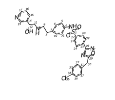 O=S(=O)(Nc1ccc(CCNC[C@H](O)c2cccnc2)cc1)c1ccc(-c2noc(Cc3ccc(Cl)cc3)n2)cc1